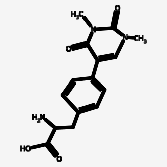 Cn1cc(-c2ccc(CC(N)C(=O)O)cc2)c(=O)n(C)c1=O